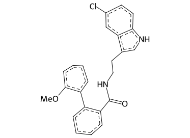 COc1ccccc1-c1ccccc1C(=O)NCCc1c[nH]c2ccc(Cl)cc12